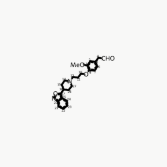 COc1cc(CC=O)ccc1OCCCN1CCC(c2onc3ccccc23)CC1